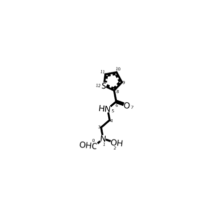 O=CN(O)CCNC(=O)c1cccs1